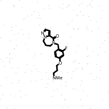 CNCCCOc1ccc(CN2CCCn3nccc3C2=O)c(F)c1